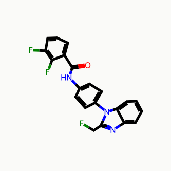 O=C(Nc1ccc(-n2c(CF)nc3ccccc32)cc1)c1cccc(F)c1F